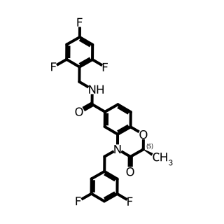 C[C@@H]1Oc2ccc(C(=O)NCc3c(F)cc(F)cc3F)cc2N(Cc2cc(F)cc(F)c2)C1=O